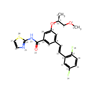 COC[C@H](C)Oc1cc(C=Cc2cc(F)ccc2F)cc(C(=O)Nc2nccs2)c1